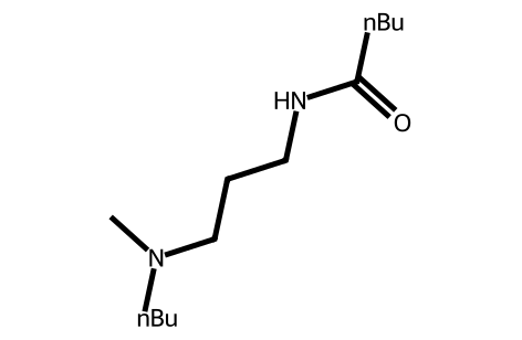 CCCCC(=O)NCCCN(C)CCCC